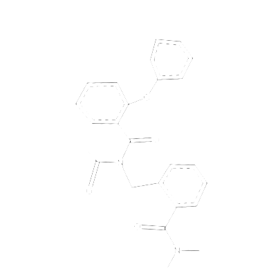 CC(=O)N(Cc1ccccc1C(=O)N(C)C)C(=O)c1ccccc1Oc1ccccc1